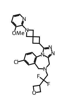 COc1cccnc1N1CC2(CC(c3nnc4n3-c3ccc(Cl)cc3CN(CC(F)(F)C3COC3)C4)C2)C1